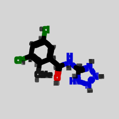 COc1c(Cl)cc(Cl)cc1C(=O)Nc1nnn[nH]1